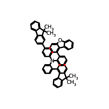 CC1(C)c2ccccc2-c2ccc(-c3ccc(N(c4ccccc4-c4cccc5c4-c4ccccc4C5(C)C)c4ccccc4-c4cccc5oc6ccccc6c45)cc3)cc21